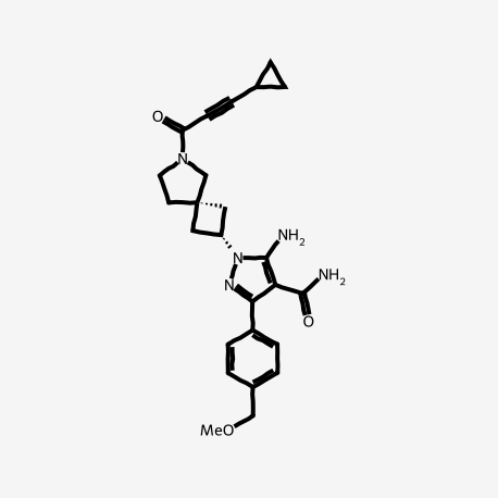 COCc1ccc(-c2nn([C@H]3C[C@@]4(CCN(C(=O)C#CC5CC5)C4)C3)c(N)c2C(N)=O)cc1